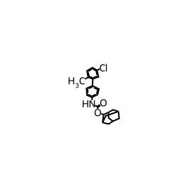 Cc1ccc(Cl)cc1-c1ccc(NC(=O)OC2C3CC4CC(C3)CC2C4)cc1